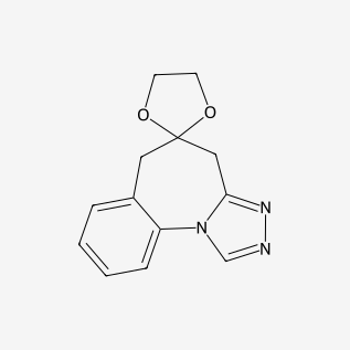 c1ccc2c(c1)CC1(Cc3nncn3-2)OCCO1